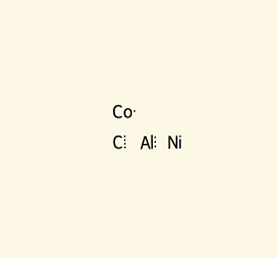 [Al].[C].[Co].[Ni]